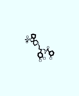 CN(C[C@@H](CCN1CCC2(CC1)CN(S(C)(=O)=O)c1ccccc12)c1ccc(Cl)c(Cl)c1)C(=O)c1cccc(Cl)c1